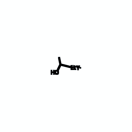 CCC(C)O.[Y]